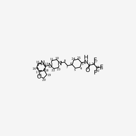 O=C(NC1CCC(CCN2CCN(c3nccc4c3CCO4)CC2)CC1)C(F)C(F)F